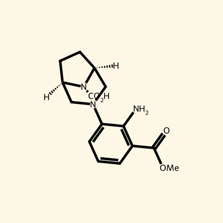 COC(=O)c1cccc(N2C[C@H]3CC[C@@H](C2)N3C(=O)O)c1N